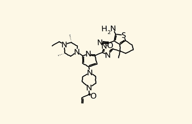 C=CC(=O)N1CCN(c2cc(-c3noc(C4(C)CCCc5sc(N)c(C#N)c54)n3)nc(N3C[C@@H](C)N(CC)[C@@H](C)C3)c2)CC1